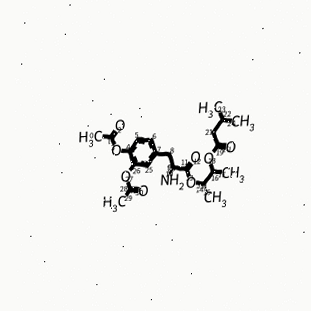 CC(=O)Oc1ccc(C[C@H](N)C(=O)O[C@@H](C)C(C)OC(=O)CC(C)C)cc1OC(C)=O